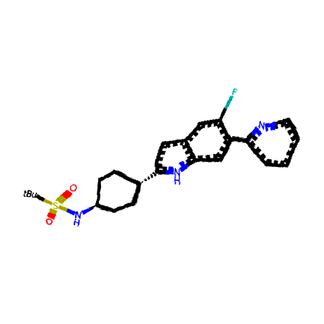 CC(C)(C)S(=O)(=O)N[C@H]1CC[C@H](c2cc3cc(F)c(-c4ccccn4)cc3[nH]2)CC1